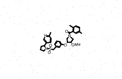 CO[C@@H]1CN(C(=O)c2cc(C)ccc2C)C[C@H]1Oc1cccc(CS(=O)(=O)N2CCCC2c2ccc(C)nc2)c1